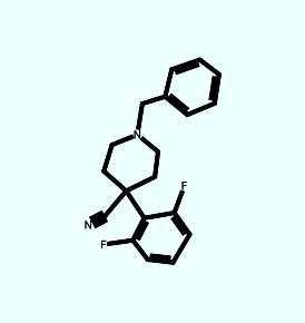 N#CC1(c2c(F)cccc2F)CCN(Cc2ccccc2)CC1